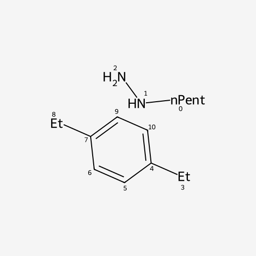 CCCCCNN.CCc1ccc(CC)cc1